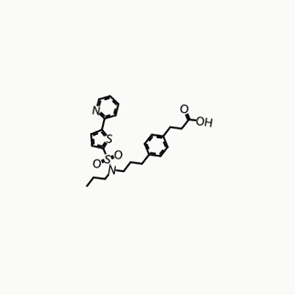 CCCN(CCCc1ccc(CCC(=O)O)cc1)S(=O)(=O)c1ccc(-c2ccccn2)s1